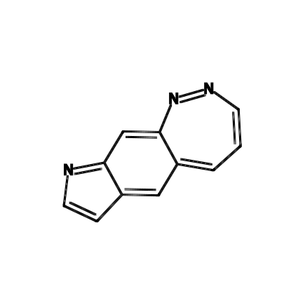 c1cnnc2cc3nccc3cc2c1